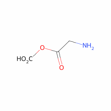 NCC(=O)OC(=O)O